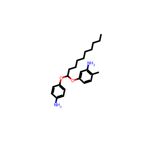 CCCCCCCCCC(Oc1ccc(N)cc1)Oc1ccc(C)c(N)c1